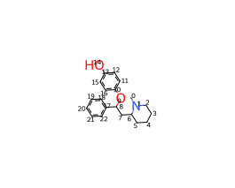 CN1CCCCC1CC(Oc1ccc(O)cc1)c1ccccc1